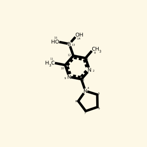 Cc1nc(N2CCCC2)nc(C)c1B(O)O